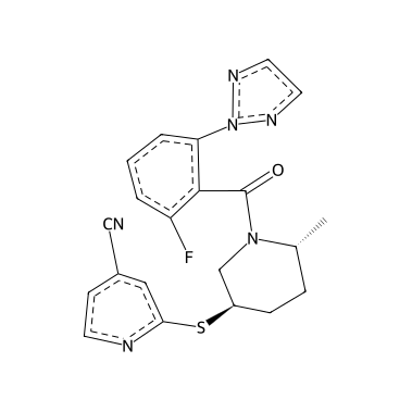 C[C@@H]1CC[C@@H](Sc2cc(C#N)ccn2)CN1C(=O)c1c(F)cccc1-n1nccn1